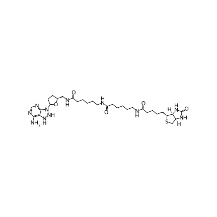 Nc1ncnc2c1NNN2C1CC[C@@H](CNC(=O)CCCCCNC(=O)CCCCCNC(=O)CCCC[C@@H]2SC[C@@H]3NC(=O)N[C@@H]32)O1